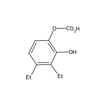 CCc1ccc(OC(=O)O)c(O)c1CC